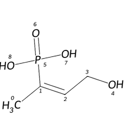 CC(=CCO)P(=O)(O)O